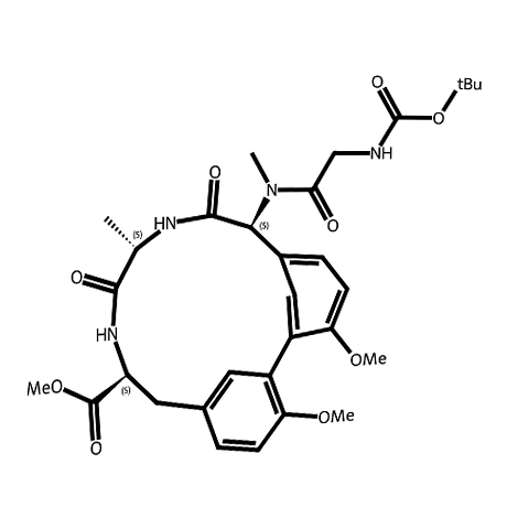 COC(=O)[C@@H]1Cc2ccc(OC)c(c2)-c2cc(ccc2OC)[C@H](N(C)C(=O)CNC(=O)OC(C)(C)C)C(=O)N[C@@H](C)C(=O)N1